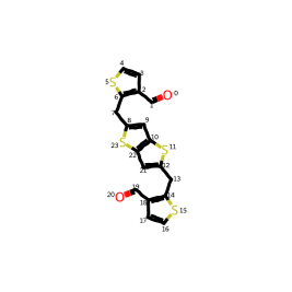 O=Cc1ccsc1Cc1cc2sc(Cc3sccc3C=O)cc2s1